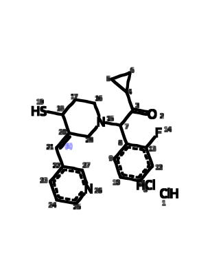 Cl.Cl.O=C(C1CC1)C(c1ccccc1F)N1CCC(S)/C(=C/c2cccnc2)C1